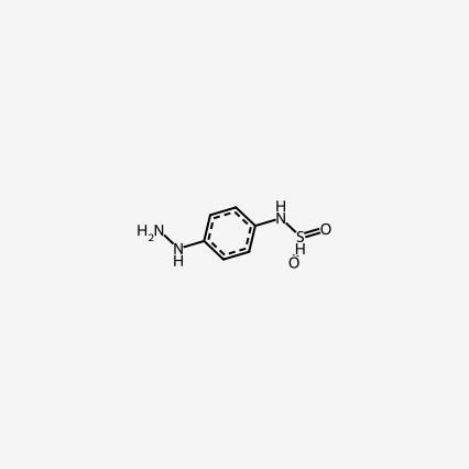 NNc1ccc(N[SH](=O)=O)cc1